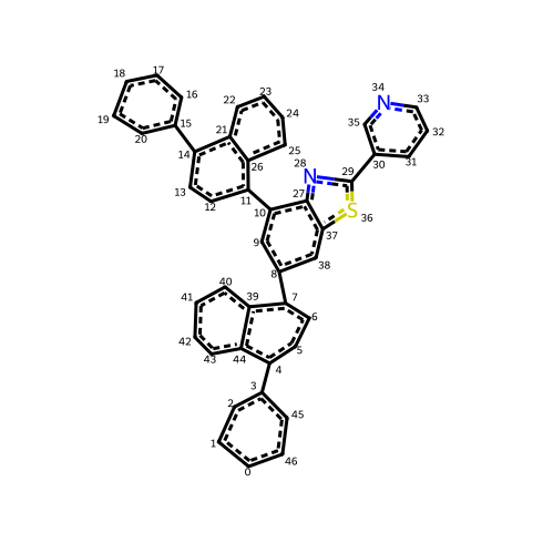 c1ccc(-c2ccc(-c3cc(-c4ccc(-c5ccccc5)c5ccccc45)c4nc(-c5cccnc5)sc4c3)c3ccccc23)cc1